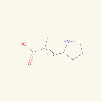 C/C(=C\C1CCCN1)C(=O)O